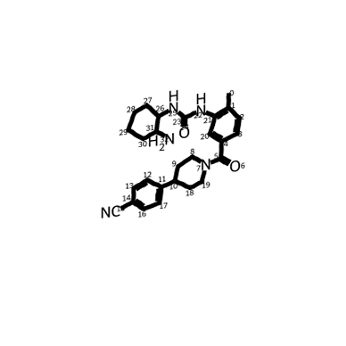 Cc1ccc(C(=O)N2CCC(c3ccc(C#N)cc3)CC2)cc1NC(=O)NC1CCCCC1N